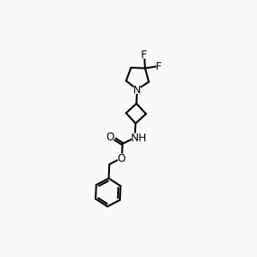 O=C(NC1CC(N2CCC(F)(F)C2)C1)OCc1ccccc1